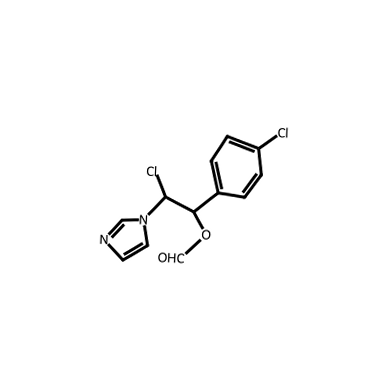 O=COC(c1ccc(Cl)cc1)C(Cl)n1ccnc1